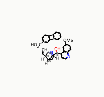 C=C[C@H]1C[N@]2CC[C@H]1C[C@H]2[C@H](O)c1ccnc2ccc(OC)cc12.O=C(O)c1ccc2c(c1)-c1ccccc1-2